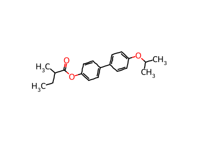 CCC(C)C(=O)Oc1ccc(-c2ccc(OC(C)C)cc2)cc1